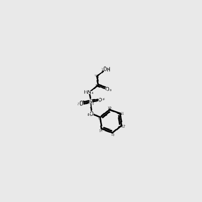 O=C(CO)NS(=O)(=O)Oc1ccccc1